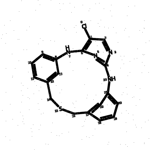 Clc1cnc2nc1Nc1cccc(c1)CSCc1cccc(c1)N2